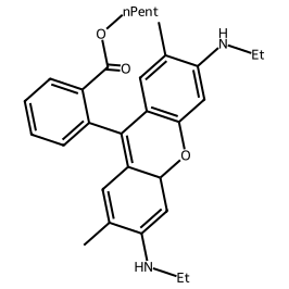 CCCCCOC(=O)c1ccccc1C1=C2C=C(C)C(NCC)=CC2Oc2cc(NCC)c(C)cc21